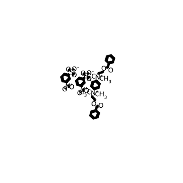 C[N+](C)(CCOC(=O)c1ccccc1)c1ccc([N+](C)(C)CCOC(=O)c2ccccc2)cc1.O=[N+]([O-])c1cccc(S(=O)(=O)[O-])c1.O=[N+]([O-])c1cccc(S(=O)(=O)[O-])c1